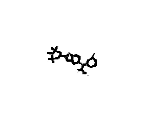 C[C@H]1CCCN([C@@H](C(N)=O)c2ccc3nn(C4CC(C)(C)N(C)C(C)(C)C4)cc3c2)C1